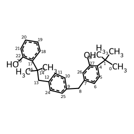 CC(C)(C)c1ccc(Cc2ccc(CC(C)(C)c3ccccc3O)cc2)cc1O